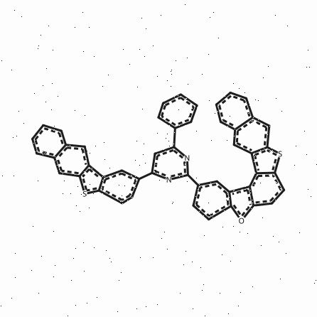 c1ccc(-c2cc(-c3ccc4sc5cc6ccccc6cc5c4c3)nc(-c3ccc4oc5ccc6sc7cc8ccccc8cc7c6c5c4c3)n2)cc1